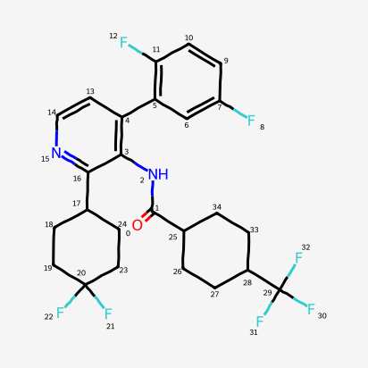 O=C(Nc1c(-c2cc(F)ccc2F)ccnc1C1CCC(F)(F)CC1)C1CCC(C(F)(F)F)CC1